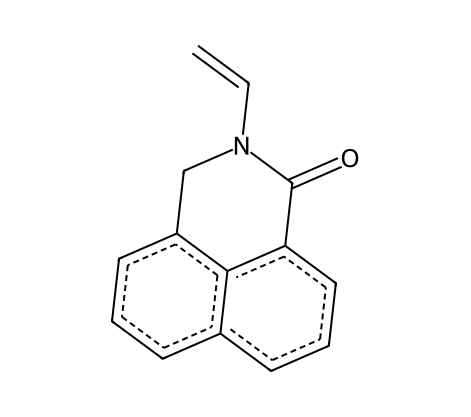 C=CN1Cc2cccc3cccc(c23)C1=O